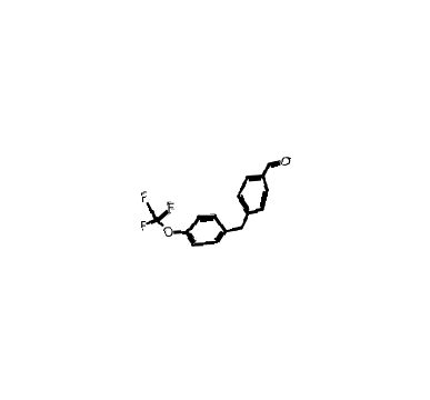 O=Cc1ccc(Cc2ccc(OC(F)(F)F)cc2)cc1